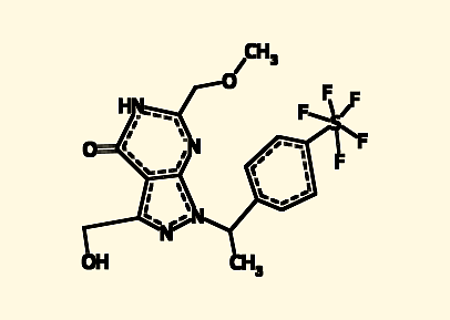 COCc1nc2c(c(CO)nn2C(C)c2ccc(S(F)(F)(F)(F)F)cc2)c(=O)[nH]1